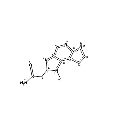 Cn1c(CC(N)=O)nc2cnc3[nH]ccc3c21